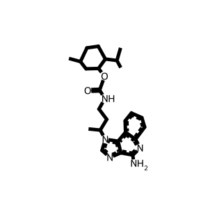 CC1CCC(C(C)C)C(OC(=O)NCCC(C)n2cnc3c(N)nc4ccccc4c32)C1